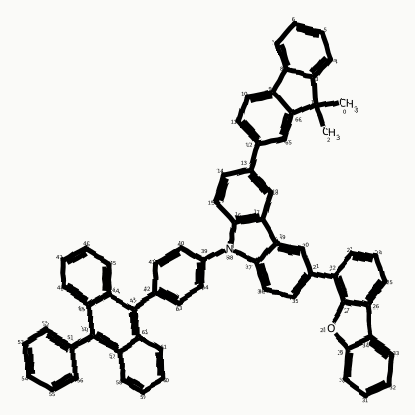 CC1(C)c2ccccc2-c2ccc(-c3ccc4c(c3)c3cc(-c5cccc6c5oc5ccccc56)ccc3n4-c3ccc(-c4c5ccccc5c(-c5ccccc5)c5ccccc45)cc3)cc21